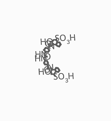 O=C(Nc1ccc(C(=O)N=C2C(O)=CC(S(=O)(=O)O)c3ccccc32)cc1)Nc1ccc(C(=O)N=C2C(O)=CC(S(=O)(=O)O)c3ccccc32)cc1